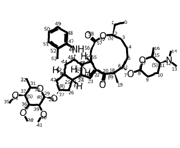 CC[C@H]1CCC[C@H](OC2CC[C@H](N(C)C)C(C)O2)[C@@H](C)C(=O)C2=C[C@H]3[C@@H]4C[C@H](O[C@@H]5OC(C)[C@H](OC)C(OC)C5OC)C[C@H]4C[C@H](Nc4ccccc4C)[C@H]3[C@@H]2CC(=O)O1